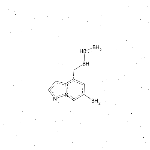 BBBCc1cc(B)cn2nccc12